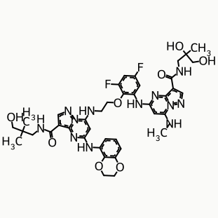 CNc1cc(Nc2cc(F)cc(F)c2OCCNc2cc(Nc3cccc4c3OCCO4)nc3c(C(=O)NCC(C)(C)CO)cnn23)nc2c(C(=O)NCC(C)(O)CO)cnn12